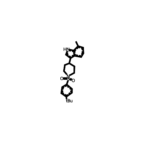 Cc1cccc2c(C3CCN(S(=O)(=O)c4ccc(C(C)(C)C)cc4)CC3)c[nH]c12